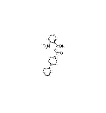 O=C(CC(O)c1ccccc1[N+](=O)[O-])N1CCN(c2ccccc2)CC1